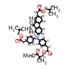 C=C(C)COC(=O)Cc1ccc(N(c2ccc(CC(=O)OCC(=C)C(=O)OC)cc2)c2ccc3c(c2)C(C)(C)c2cc(CC(=O)OCC(=C)C)ccc2-3)cc1